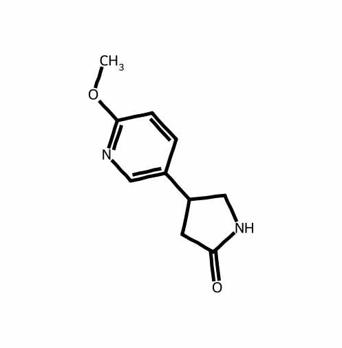 COc1ccc(C2CNC(=O)C2)cn1